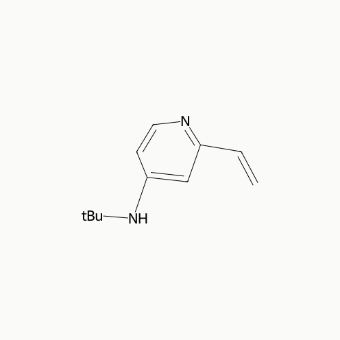 C=Cc1cc(NC(C)(C)C)ccn1